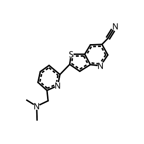 CN(C)Cc1cccc(-c2cc3ncc(C#N)cc3s2)n1